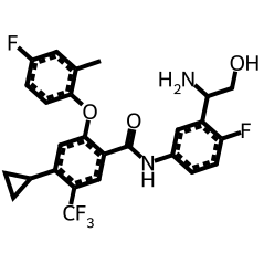 Cc1cc(F)ccc1Oc1cc(C2CC2)c(C(F)(F)F)cc1C(=O)Nc1ccc(F)c(C(N)CO)c1